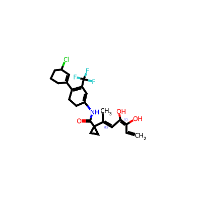 C=C/C(O)=C(O)\C=C(/C)C1(C(=O)NC2=CC(C(F)(F)F)=C(C3=CC(Cl)CCC3)CC2)CC1